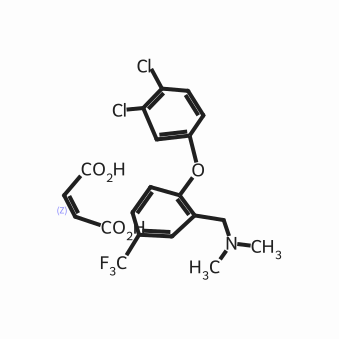 CN(C)Cc1cc(C(F)(F)F)ccc1Oc1ccc(Cl)c(Cl)c1.O=C(O)/C=C\C(=O)O